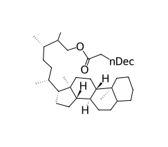 CCCCCCCCCCCC(=O)OCC(C)[C@@H](C)CC[C@@H](C)[C@H]1CC[C@H]2[C@@H]3CCC4CCCC[C@]4(C)[C@H]3CC[C@]12C